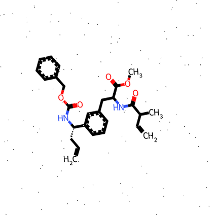 C=CC[C@H](NC(=O)OCc1ccccc1)c1cccc(CC(NC(=O)C(C)C=C)C(=O)OC)c1